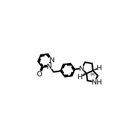 O=c1cccnn1Cc1ccc(N2CC[C@@H]3CNC[C@@H]32)cc1